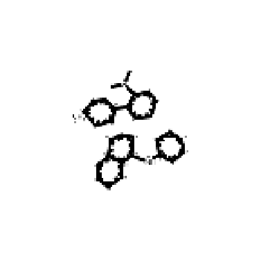 C.CN(C)c1ccccc1-c1ccccc1.c1ccc(Nc2cccc3ccccc23)cc1